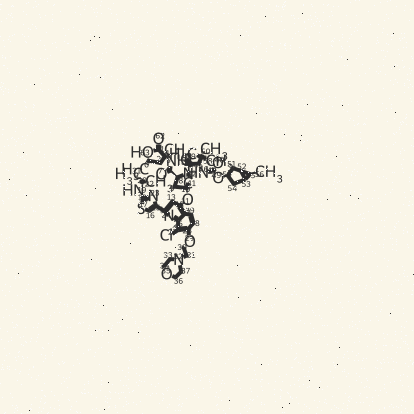 CCC[C@@](C)(NC(=O)[C@@H]1C[C@@H](Oc2cc(-c3csc(NC(C)C)n3)nc3c(Cl)c(OCCN4CCOCC4)ccc23)CN1C(=O)[C@@H](NC(=O)O[C@H]1CC2C(C1)[C@@H]2C)C(C)(C)C)C(=O)O